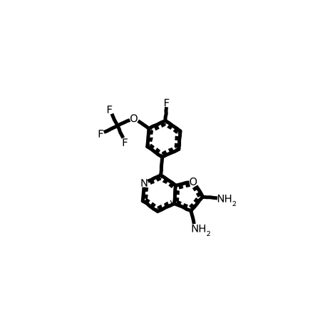 Nc1oc2c(-c3ccc(F)c(OC(F)(F)F)c3)nccc2c1N